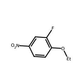 CCOc1ccc([N+](=O)[O-])cc1F